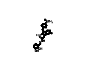 CC1=C(CC(=O)NN=Cc2cccc(O)c2O)c2cc(F)ccc2/C1=C\c1ccc([S+](C)[O-])cc1